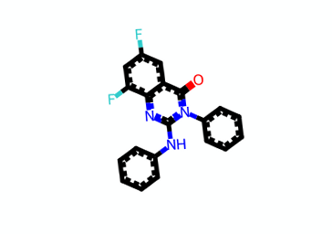 O=c1c2cc(F)cc(F)c2nc(Nc2ccccc2)n1-c1ccccc1